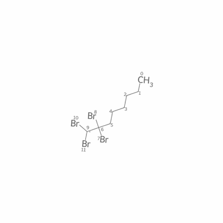 CCCCCCC(Br)(Br)[C](Br)Br